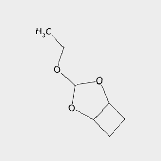 CCOC1OC2CCC2O1